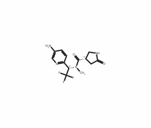 CN(C(=O)[C@@H]1CNC(=O)C1)[C@@H](c1ccc(N)cn1)C(F)(F)F